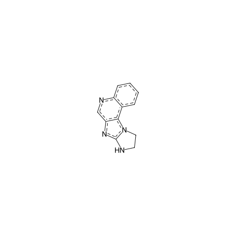 c1ccc2c(c1)ncc1nc3n(c12)CCN3